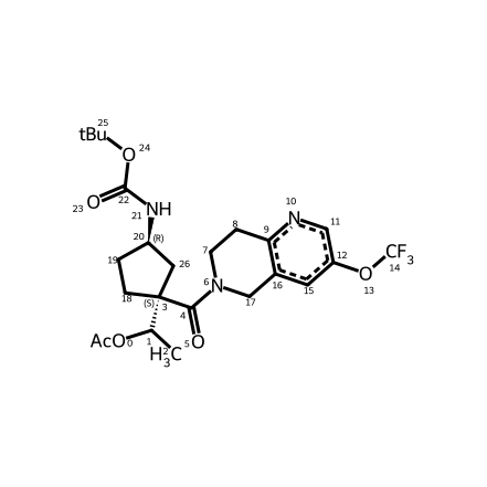 CC(=O)OC(C)[C@]1(C(=O)N2CCc3ncc(OC(F)(F)F)cc3C2)CC[C@@H](NC(=O)OC(C)(C)C)C1